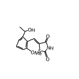 COc1cccc(C(C)O)c1/C=C1\SC(=O)NC1=O